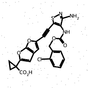 Nc1nsc(C#Cc2cc3cc(C4(C(=O)O)CC4)oc3o2)c1NC(=O)OCc1ccccc1Cl